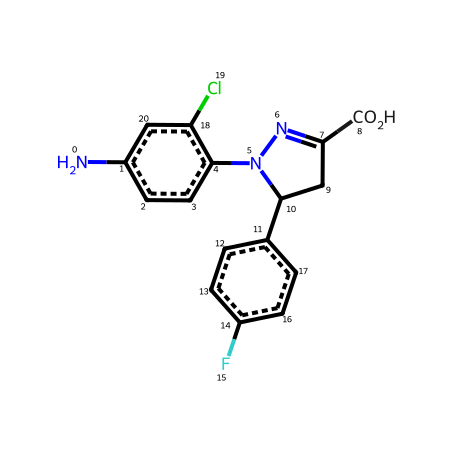 Nc1ccc(N2N=C(C(=O)O)CC2c2ccc(F)cc2)c(Cl)c1